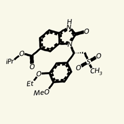 CCOc1cc([C@@H](CS(C)(=O)=O)n2c(=O)[nH]c3ccc(C(=O)OC(C)C)cc32)ccc1OC